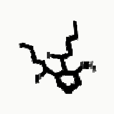 Bc1cccc(C(F)CCCC)c1C(F)CCCC